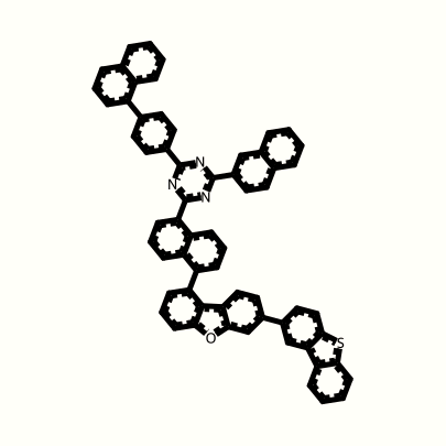 c1ccc2cc(-c3nc(-c4ccc(-c5cccc6ccccc56)cc4)nc(-c4cccc5c(-c6cccc7oc8cc(-c9ccc%10sc%11ccccc%11c%10c9)ccc8c67)cccc45)n3)ccc2c1